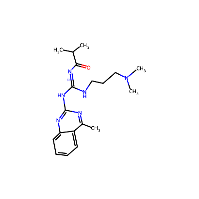 Cc1nc(N/C(=N/C(=O)C(C)C)NCCCN(C)C)nc2ccccc12